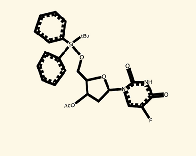 CC(=O)OC1CC(n2cc(F)c(=O)[nH]c2=O)OC1CO[Si](c1ccccc1)(c1ccccc1)C(C)(C)C